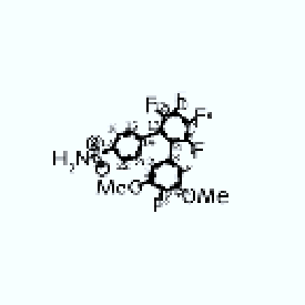 COc1cc(-c2c(F)c(F)c(F)c(F)c2-c2ccc(S(N)(=O)=O)cc2)cc(OC)c1F